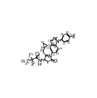 CC(F)(F)C(=O)N[C@@H]1CC(=O)N(c2ccc3c(cnn3-c3ccc(F)cc3)c2)[C@@H]1CC1CC1